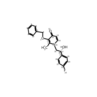 Cc1c(OCc2ccccc2)c(=O)ccn1C[C@H](O)c1ccc(F)cc1